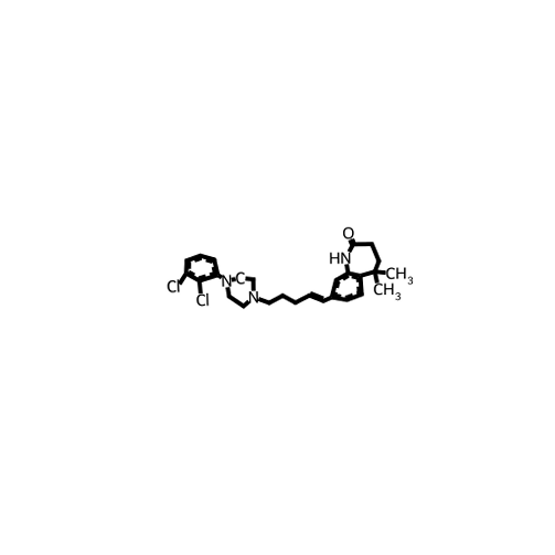 CC1(C)CCC(=O)Nc2cc(C=CCCCN3CCN(c4cccc(Cl)c4Cl)CC3)ccc21